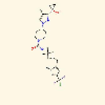 Cc1cn(C2CCN(C(=O)N3CC4(CC(CC5=CC(C(F)(I)I)=C[C@H]5C)C4)C3)CC2)nc1C1(O)CC1